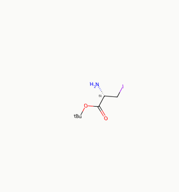 CC(C)(C)OC(=O)[C@H](N)CI